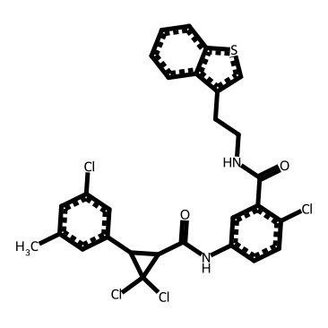 Cc1cc(Cl)cc(C2C(C(=O)Nc3ccc(Cl)c(C(=O)NCCc4csc5ccccc45)c3)C2(Cl)Cl)c1